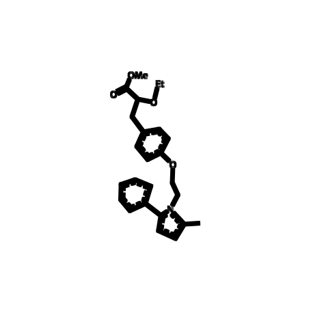 CCOC(Cc1ccc(OCCn2c(C)ccc2-c2ccccc2)cc1)C(=O)OC